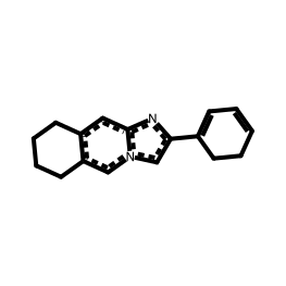 C1=CCCC(c2cn3cc4c(cc3n2)CCCC4)=C1